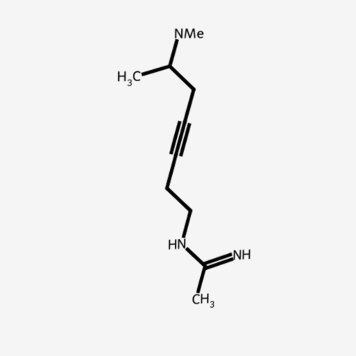 CNC(C)CC#CCCNC(C)=N